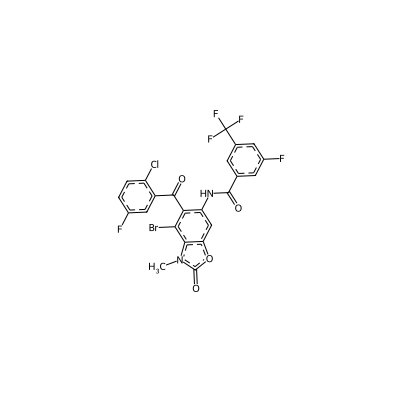 Cn1c(=O)oc2cc(NC(=O)c3cc(F)cc(C(F)(F)F)c3)c(C(=O)c3cc(F)ccc3Cl)c(Br)c21